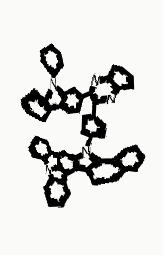 c1ccc(-n2c3ccccc3c3ccc(-c4nc5ccccc5nc4-c4ccc(-n5c6cc7c8ccccc8n8c9ccccc9c(c6c6ccc9ccccc9c65)c78)cc4)cc32)cc1